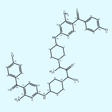 CC(C(=O)C(C)N1CCC(Nc2ncc(C(=O)c3ccc(Cl)cc3)c(N)n2)CC1)N1CCC(Nc2ncc(C(=O)c3ccc(Cl)cc3)c(N)n2)CC1